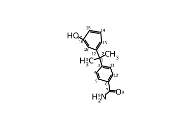 CC(C)(c1ccc(C(N)=O)cc1)c1cccc(O)c1